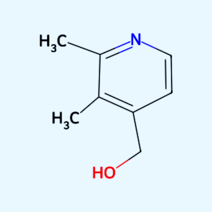 Cc1nccc(CO)c1C